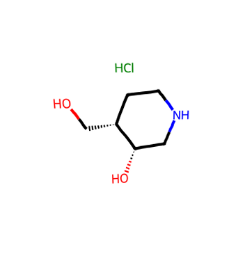 Cl.OC[C@@H]1CCNC[C@@H]1O